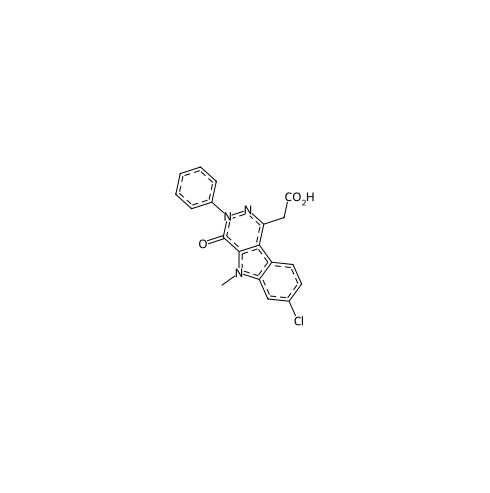 Cn1c2cc(Cl)ccc2c2c(CC(=O)O)nn(-c3ccccc3)c(=O)c21